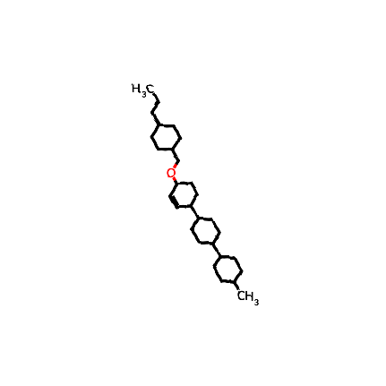 CCCC1CCC(COC2C=CC(C3CCC(C4CCC(C)CC4)CC3)CC2)CC1